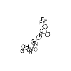 O=C(O)c1cnn(C(=O)c2csc(C3CCN(C(=O)c4ccccc4-c4ccc(C(F)(F)F)cc4)CC3)n2)c1